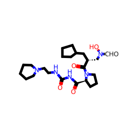 O=CN(O)C[C@@H](CC1CCCC1)C(=O)N1CCC[C@H]1C(=O)NC(=O)NCCN1CCCCC1